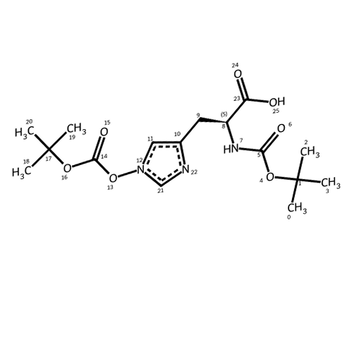 CC(C)(C)OC(=O)N[C@@H](Cc1cn(OC(=O)OC(C)(C)C)cn1)C(=O)O